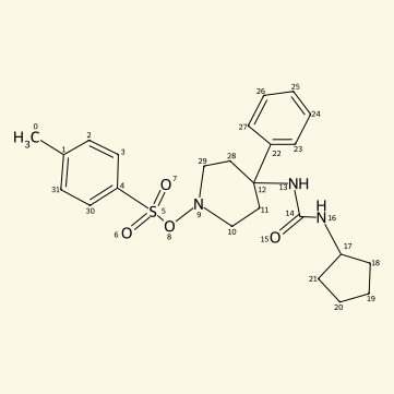 Cc1ccc(S(=O)(=O)ON2CCC(NC(=O)NC3CCCC3)(c3ccccc3)CC2)cc1